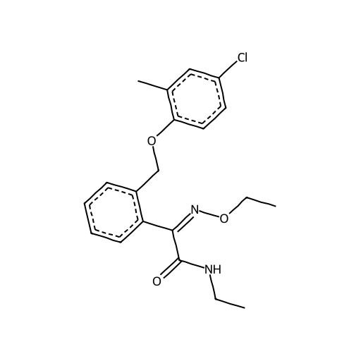 CCNC(=O)C(=NOCC)c1ccccc1COc1ccc(Cl)cc1C